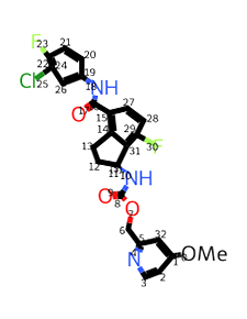 COc1ccnc(COC(=O)N[C@H]2CCc3c(C(=O)Nc4ccc(F)c(Cl)c4)ccc(F)c32)c1